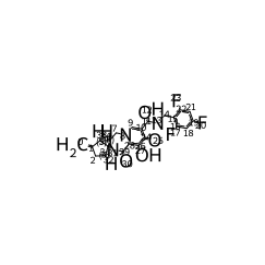 C=C1C[C@H]2C[C@@H]1[C@@H]1Cn3cc(C(=O)NCc4c(F)cc(F)cc4F)c(=O)c(O)c3C(=O)N21